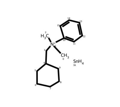 C[N+](C)(CC1CCCCC1)c1ccccc1.[SnH4]